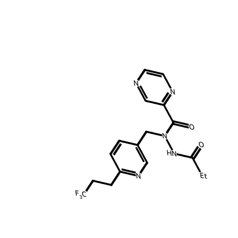 CCC(=O)NN(Cc1ccc(CCC(F)(F)F)nc1)C(=O)c1cnccn1